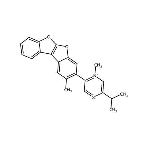 Cc1cc2c(cc1-c1cnc(C(C)C)c[n+]1C)oc1oc3ccccc3c12